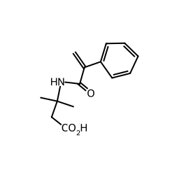 C=C(C(=O)NC(C)(C)CC(=O)O)c1ccccc1